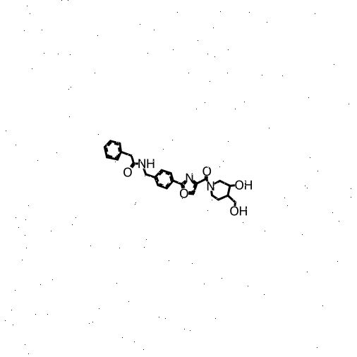 O=C(Cc1ccccc1)NCc1ccc(-c2nc(C(=O)N3CCC(CO)C(O)C3)co2)cc1